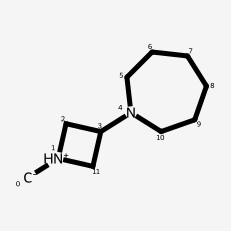 [CH2-][NH+]1CC(N2CCCCCC2)C1